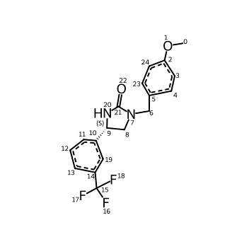 COc1ccc(CN2C[C@H](c3cccc(C(F)(F)F)c3)NC2=O)cc1